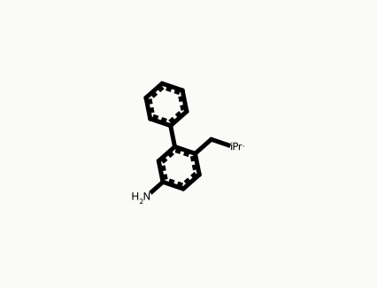 C[C](C)Cc1ccc(N)cc1-c1ccccc1